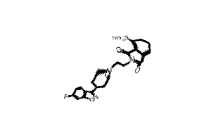 O=C1c2cccc(S(=O)(=O)O)c2C(=O)N1CCN1CCC(c2noc3cc(F)ccc23)CC1